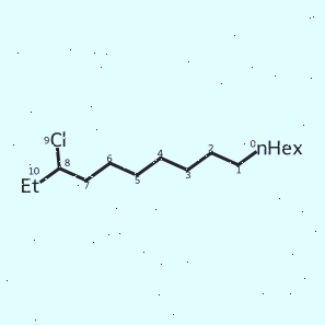 CCCCCCCCCCCCCC(Cl)CC